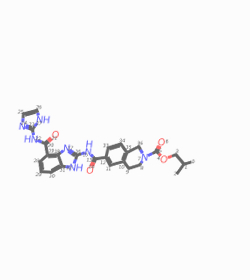 CC(C)COC(=O)N1CCc2cc(C(=O)Nc3nc4c(C(=O)Nc5ncc[nH]5)cccc4[nH]3)ccc2C1